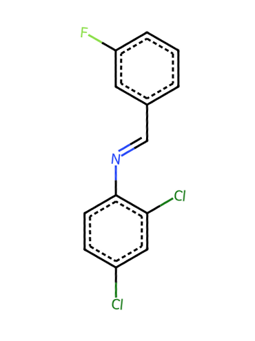 Fc1cccc(/C=N/c2ccc(Cl)cc2Cl)c1